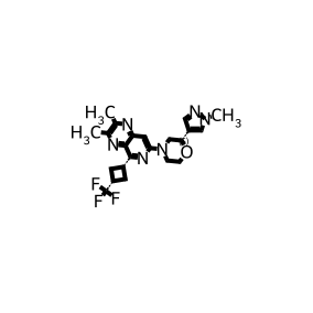 Cc1nc2cc(N3CCO[C@@H](c4cnn(C)c4)C3)nc([C@H]3C[C@@H](C(F)(F)F)C3)c2nc1C